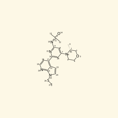 C[C@@H]1COCCN1c1cc(N=S(C)(C)=O)nc(-c2ccnc3c2ccn3SI)c1